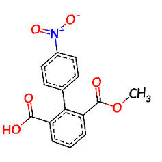 COC(=O)c1cccc(C(=O)O)c1-c1ccc([N+](=O)[O-])cc1